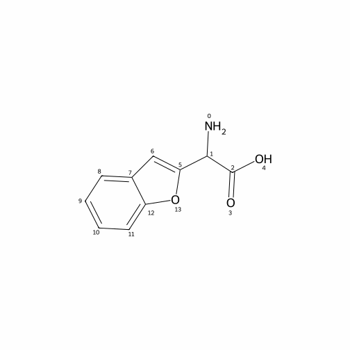 NC(C(=O)O)c1cc2ccccc2o1